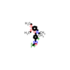 CCOc1ccc(CN(C(=O)c2ccc(-c3noc(C(F)(F)F)n3)c(F)c2)C(C)C)cc1OCC